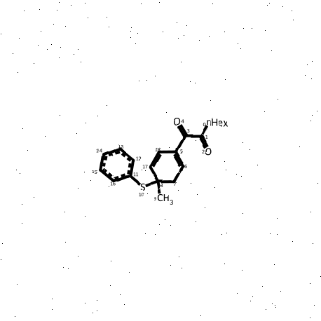 CCCCCCC(=O)C(=O)C1=CCC(C)(Sc2ccccc2)C=C1